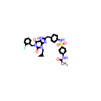 CC(=O)Nc1ccc(S(=O)(=O)Nc2ccc(Cc3nc4c([nH]3)c(=O)n(Cc3ccccc3F)c(=O)n4CC3CC3)cc2)cc1